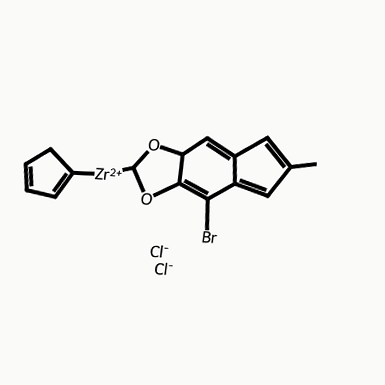 CC1=CC2=CC3O[CH]([Zr+2][C]4=CC=CC4)OC3=C(Br)C2=C1.[Cl-].[Cl-]